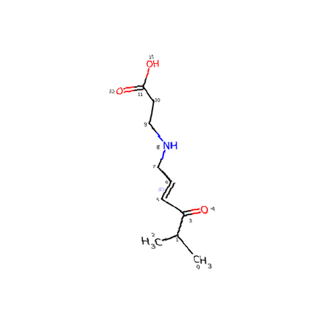 CC(C)C(=O)/C=C/CNCCC(=O)O